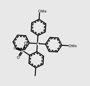 COc1ccc([P+](c2ccccc2)(c2ccc(OC)cc2)c2ccc(C)cc2S(=O)(=O)[O-])cc1